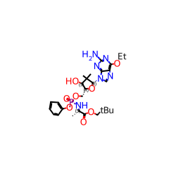 CCOc1nc(N)nc2c1ncn2[C@@H]1O[C@H](COP(=O)(N[C@@H](C)C(=O)OCC(C)(C)C)Oc2ccccc2)[C@@H](O)C1(C)C